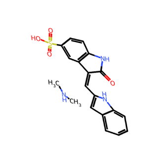 CNC.O=C1Nc2ccc(S(=O)(=O)O)cc2C1=Cc1cc2ccccc2[nH]1